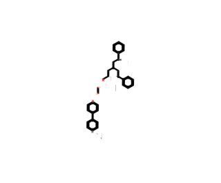 CCC(CC(CCCOCCOc1ccc(-c2ccc(C#N)cc2)cc1)CC(C)c1ccccc1)c1ccccc1